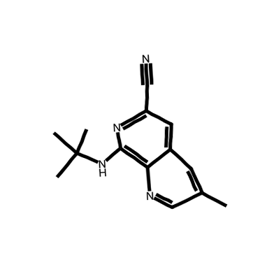 Cc1cnc2c(NC(C)(C)C)nc(C#N)cc2c1